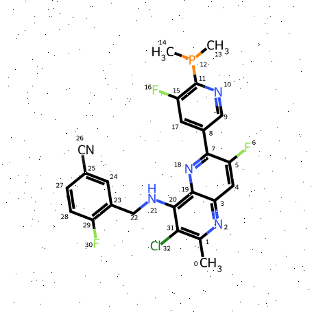 Cc1nc2cc(F)c(-c3cnc(P(C)C)c(F)c3)nc2c(NCc2cc(C#N)ccc2F)c1Cl